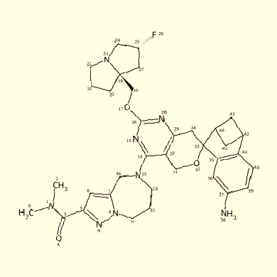 CN(C)C(=O)c1cc2n(n1)CCCN(c1nc(OC[C@@]34CCCN3C[C@H](F)C4)nc3c1COC1(C3)c3cc(N)ccc3C3CC1C3)C2